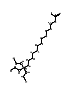 C=C(C)COCCCCCCCCCCC[Si](OCC)(OCC)OCC